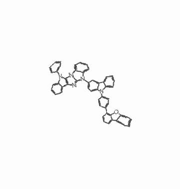 c1ccc(-n2c3ccccc3c3nc4n(-c5ccc6c(c5)c5ccccc5n6-c5ccc(-c6cccc7c6oc6ccccc67)cc5)c5ccccc5n4c32)cc1